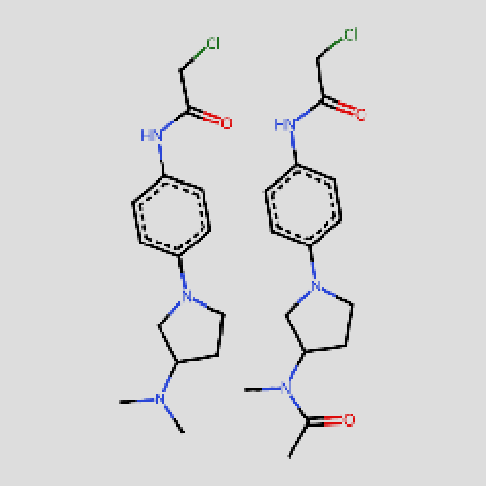 CC(=O)N(C)C1CCN(c2ccc(NC(=O)CCl)cc2)C1.CN(C)C1CCN(c2ccc(NC(=O)CCl)cc2)C1